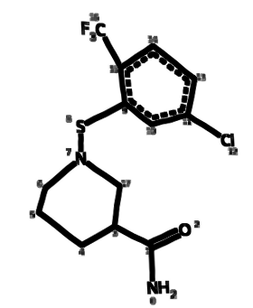 NC(=O)C1CCCN(Sc2cc(Cl)ccc2C(F)(F)F)C1